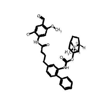 COc1cc(NC(=O)CCCc2ccc(-c3ccccc3)c(NC(=O)OC3CC4CC[C@H](C3)[N+]4(C)C)c2)c(Cl)cc1C=O